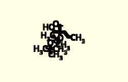 CCCC([C]=O)(CO)O[Si](C)(C)O[Si](C)(C)C